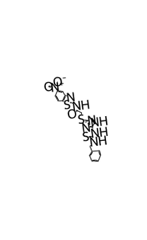 O=C(CSc1n[nH]c(NC(=S)NCc2ccccc2)n1)Nc1nc2cc([N+](=O)[O-])ccc2s1